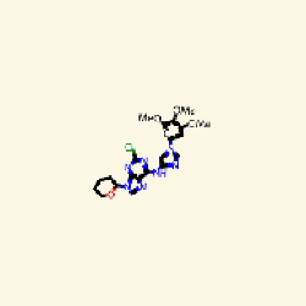 COc1cc(-n2cnc(Nc3nc(Cl)nc4c3ncn4C3CCCCO3)c2)cc(OC)c1OC